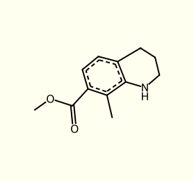 COC(=O)c1ccc2c(c1C)NCCC2